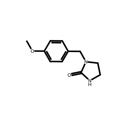 COc1ccc(CN2CCNC2=O)cc1